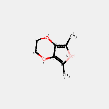 CC1=C2OCCOC2=C(C)B1